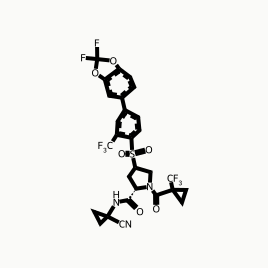 N#CC1(NC(=O)[C@@H]2CC(S(=O)(=O)c3ccc(-c4ccc5c(c4)OC(F)(F)O5)cc3C(F)(F)F)CN2C(=O)C2(C(F)(F)F)CC2)CC1